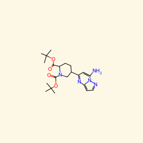 CC(C)(C)OC(=O)C1CCC(c2cc(N)n3nccc3n2)CN1C(=O)OC(C)(C)C